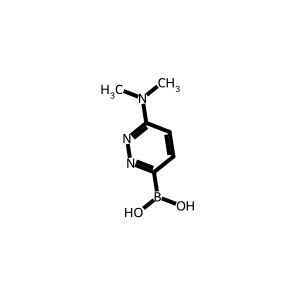 CN(C)c1ccc(B(O)O)nn1